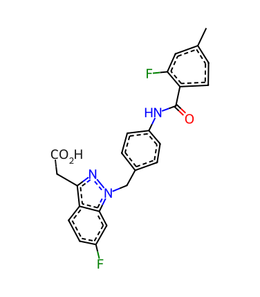 Cc1ccc(C(=O)Nc2ccc(Cn3nc(CC(=O)O)c4ccc(F)cc43)cc2)c(F)c1